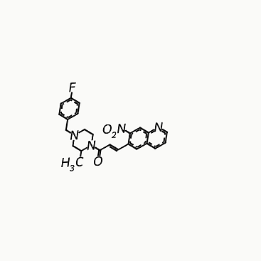 CC1CN(Cc2ccc(F)cc2)CCN1C(=O)C=Cc1cc2cccnc2cc1[N+](=O)[O-]